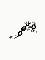 CCOC(=O)N(c1ccccc1C)c1c(-c2ccc(-c3ccc(CC(=O)O)cc3)cc2)noc1C